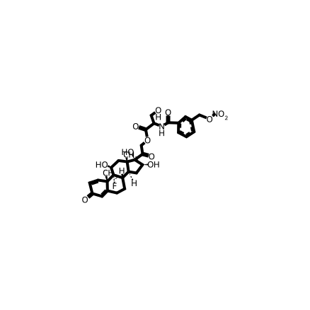 C[C@]12C=CC(=O)C=C1CC[C@H]1[C@@H]3C[C@@H](O)[C@](O)(C(=O)COC(=O)C(CO)NC(=O)c4cccc(CO[N+](=O)[O-])c4)[C@@]3(C)C[C@H](O)[C@@]12F